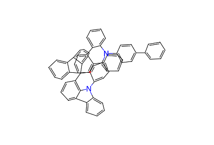 c1ccc(-c2ccc(N(c3ccc4c(c3)C3(c5ccccc5-c5ccccc53)c3cccc5c6ccccc6n-4c35)c3ccccc3-c3ccccc3-c3ccccc3)cc2)cc1